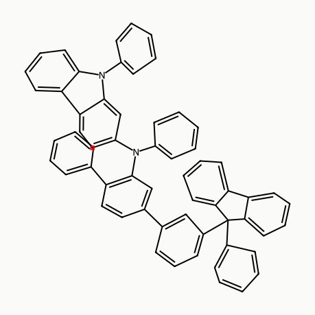 c1ccc(-c2ccc(-c3cccc(C4(c5ccccc5)c5ccccc5-c5ccccc54)c3)cc2N(c2ccccc2)c2ccc3c4ccccc4n(-c4ccccc4)c3c2)cc1